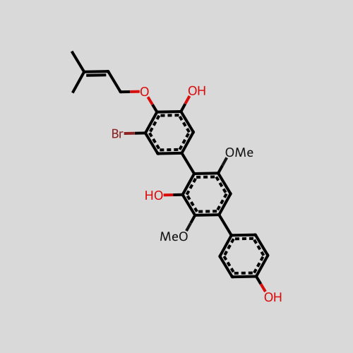 COc1cc(-c2ccc(O)cc2)c(OC)c(O)c1-c1cc(O)c(OCC=C(C)C)c(Br)c1